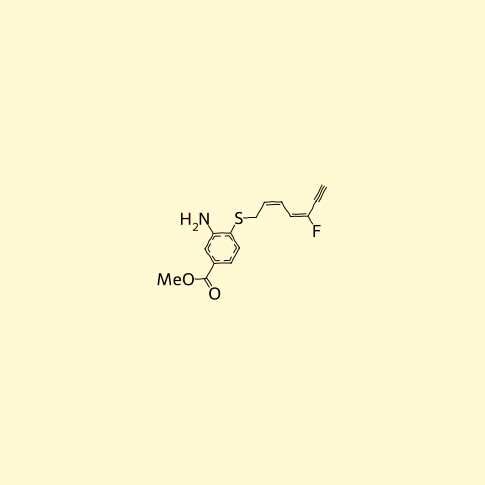 C#C/C(F)=C\C=C/CSc1ccc(C(=O)OC)cc1N